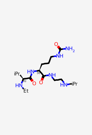 CCN[C@H](C(=O)N[C@@H](CCCNC(N)=O)C(=O)NCCNC(C)C)C(C)C